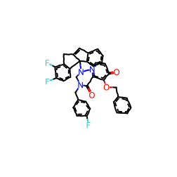 O=C1c2c(OCc3ccccc3)c(=O)ccn2N(C23C(=Cc4ccccc42)Cc2c3ccc(F)c2F)CN1Cc1ccc(F)cc1